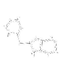 [c]1c(Cc2cnccn2)[nH]c2ccccc12